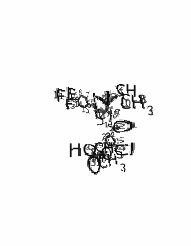 CC(C)c1nc(-c2ccc(C(F)(F)F)cc2)sc1CCC(=O)c1ccc(OC(C)(C)C(=O)O)c(Cl)c1